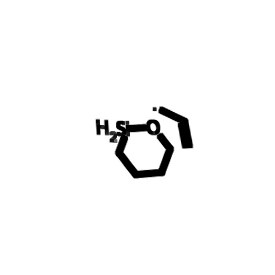 C1CC[SiH2]OC1.[CH2]C=C